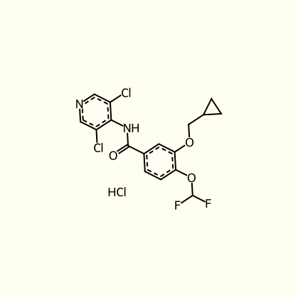 Cl.O=C(Nc1c(Cl)cncc1Cl)c1ccc(OC(F)F)c(OCC2CC2)c1